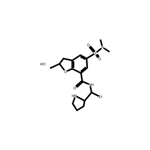 CCC(NC(=O)c1cc(S(=O)(=O)N(C)C)cc2c1OC(C)C2)C1CCCN1.Cl